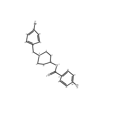 O=C(OC1CCN(Cc2ccc(Br)cc2)CC1)c1ccc(Cl)cc1